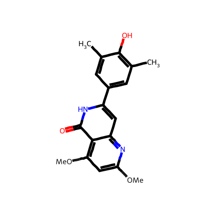 COc1cc(OC)c2c(=O)[nH]c(-c3cc(C)c(O)c(C)c3)cc2n1